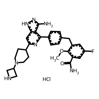 COc1c(Cc2ccc(-c3nc(C4CCN(C5CNC5)CC4)cc4[nH]nc(N)c34)cc2)cc(F)cc1C(N)=O.Cl